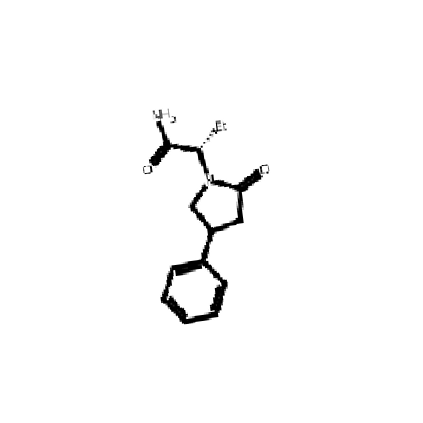 CC[C@@H](C(N)=O)N1CC(c2ccccc2)CC1=O